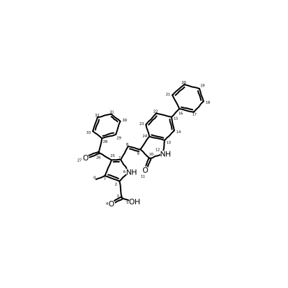 Cc1c(C(=O)O)[nH]c(C=C2C(=O)Nc3cc(-c4ccccc4)ccc32)c1C(=O)c1ccccc1